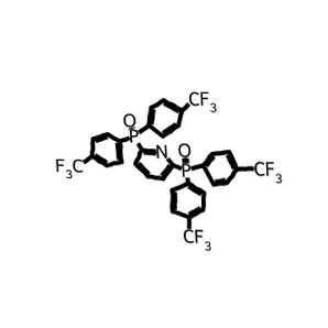 O=P(c1ccc(C(F)(F)F)cc1)(c1ccc(C(F)(F)F)cc1)c1cccc(P(=O)(c2ccc(C(F)(F)F)cc2)c2ccc(C(F)(F)F)cc2)n1